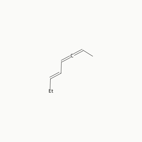 CC=C=CC=CCC